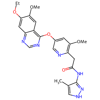 CCOc1cc2ncnc(Oc3cnc(CC(=O)Nc4n[nH]cc4C)c(OC)c3)c2cc1OC